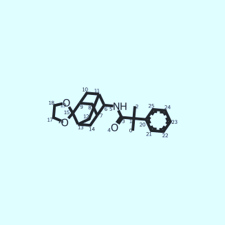 CC(C)(C(=O)NC1C2CC3CC1CC(C2)C31OCCO1)c1ccccc1